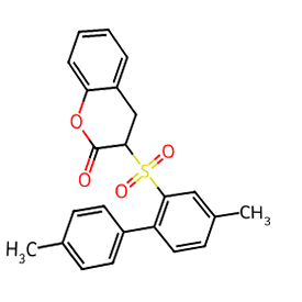 Cc1ccc(-c2ccc(C)cc2S(=O)(=O)C2Cc3ccccc3OC2=O)cc1